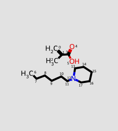 C=C(C)C(=O)O.CCCCCCN1CCCCC1